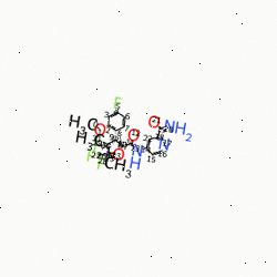 COc1cc(F)ccc1[C@@H]1[C@@H](C(=O)Nc2ccnc(C(N)=O)c2)O[C@](C)(C(F)(F)F)[C@@H]1C